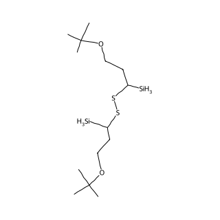 CC(C)(C)OCCC([SiH3])SSC([SiH3])CCOC(C)(C)C